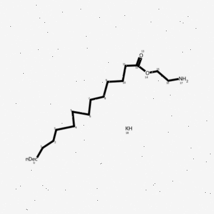 CCCCCCCCCCCCCCCCCCCCCC(=O)OCCN.[KH]